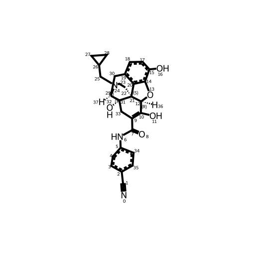 N#Cc1ccc(NC(=O)C2=C(O)[C@@H]3Oc4c(O)ccc5c4[C@@]34CCN(CC3CC3)[C@H](C5)[C@]4(O)C2)cc1